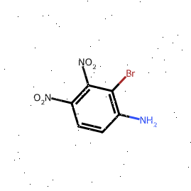 Nc1ccc([N+](=O)[O-])c([N+](=O)[O-])c1Br